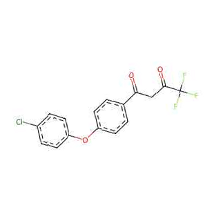 O=C(CC(=O)C(F)(F)F)c1ccc(Oc2ccc(Cl)cc2)cc1